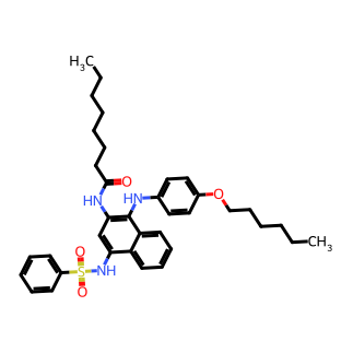 CCCCCCCC(=O)Nc1cc(NS(=O)(=O)c2ccccc2)c2ccccc2c1Nc1ccc(OCCCCCC)cc1